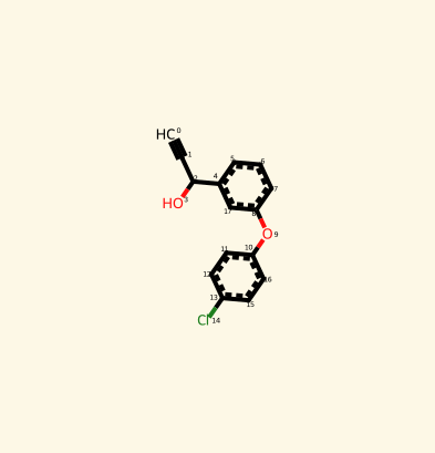 C#CC(O)c1cccc(Oc2ccc(Cl)cc2)c1